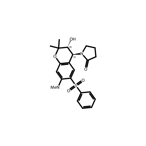 CNc1cc2c(cc1S(=O)(=O)c1ccccc1)[C@H](N1CCCC1=O)[C@@H](O)C(C)(C)O2